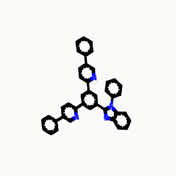 c1ccc(-c2ccc(-c3cc(-c4ccc(-c5ccccc5)cn4)cc(-c4nc5ccccc5n4-c4ccccc4)c3)nc2)cc1